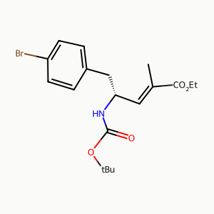 CCOC(=O)/C(C)=C/[C@@H](Cc1ccc(Br)cc1)NC(=O)OC(C)(C)C